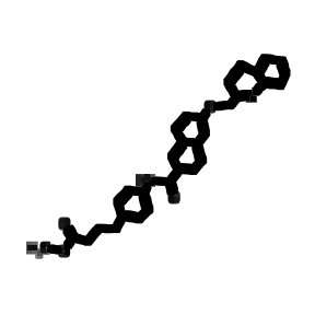 COC(=O)CCCc1ccc(NC(=O)c2ccc3cc(OCc4ccc5ccccc5n4)ccc3c2)cc1